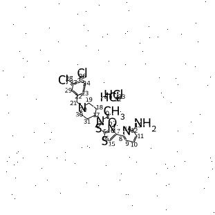 CC(=O)N(Sc1nc(-c2cccc(N)n2)cs1)C1CCN(Cc2ccc(Cl)c(Cl)c2)CC1.Cl.Cl